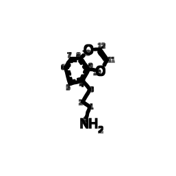 NCCCc1cccc2c1OC=CO2